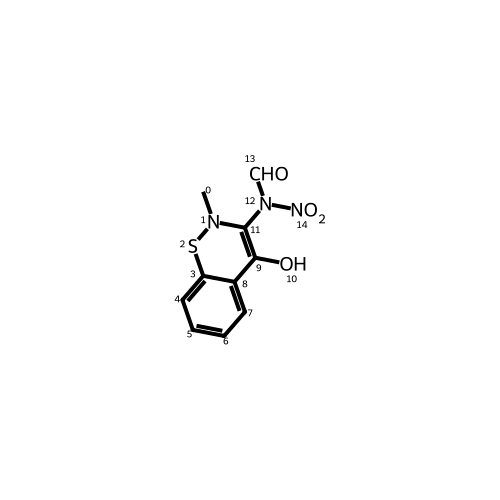 CN1Sc2ccccc2C(O)=C1N(C=O)[N+](=O)[O-]